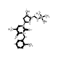 Cc1cn([C@H]2C[C@@H](O)[C@@H](CO[Si](C)(C)C(C)(C)C)O2)c(=O)n(Cc2ccccc2[N+](=O)[O-])c1=O